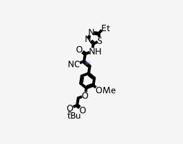 CCc1nnc(NC(=O)/C(C#N)=C/c2ccc(OCC(=O)OC(C)(C)C)c(OC)c2)s1